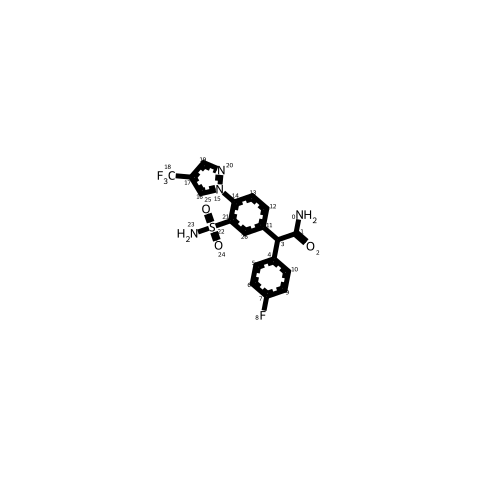 NC(=O)C(c1ccc(F)cc1)c1ccc(-n2cc(C(F)(F)F)cn2)c(S(N)(=O)=O)c1